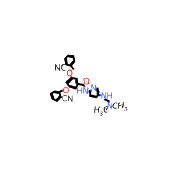 CN(C)CCNc1ccc(NC(=O)c2cc(OCc3ccccc3C#N)cc(OCc3ccccc3C#N)c2)nc1